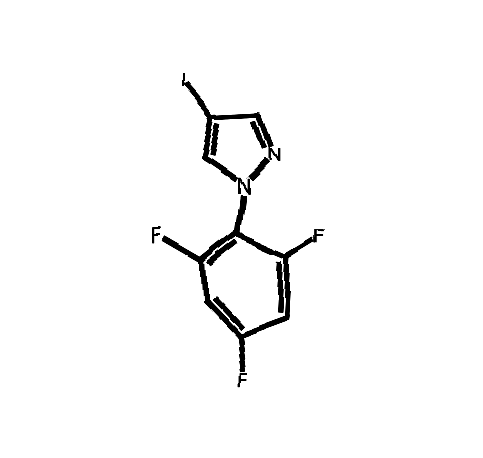 Fc1cc(F)c(-n2cc(I)cn2)c(F)c1